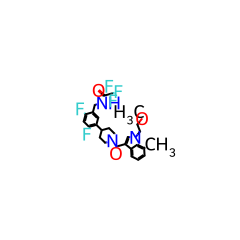 COCCn1cc(C(=O)N2CCC(c3cc(CNC(=O)C(F)(F)F)c(F)cc3F)CC2)c2cccc(C)c21